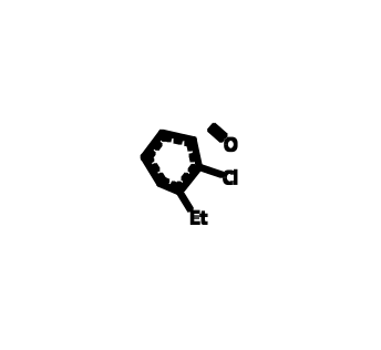 C=O.CCc1ccccc1Cl